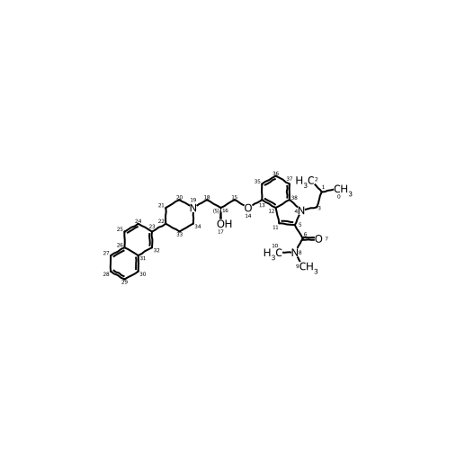 CC(C)Cn1c(C(=O)N(C)C)cc2c(OC[C@@H](O)CN3CCC(c4ccc5ccccc5c4)CC3)cccc21